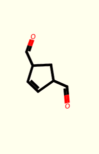 O=CC1C=CC(C=O)C1